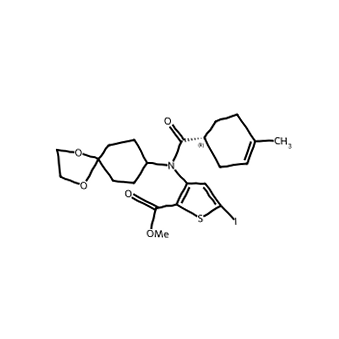 COC(=O)c1sc(I)cc1N(C(=O)[C@H]1CC=C(C)CC1)C1CCC2(CC1)OCCO2